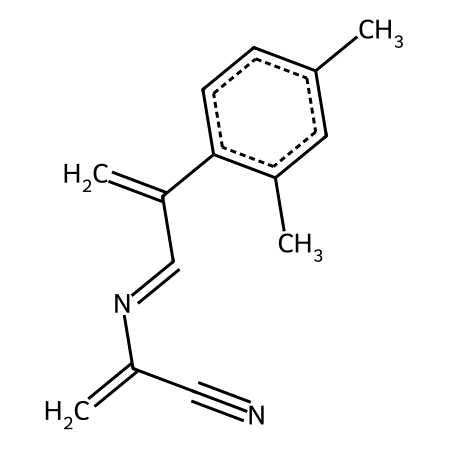 C=C(C#N)/N=C/C(=C)c1ccc(C)cc1C